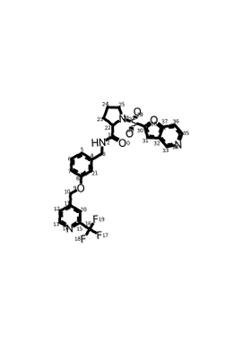 O=C(NCc1cccc(OCc2ccnc(C(F)(F)F)c2)c1)C1CCCN1S(=O)(=O)c1cc2cnccc2o1